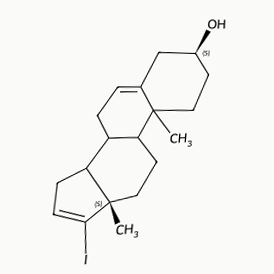 CC12CC[C@H](O)CC1=CCC1C2CC[C@]2(C)C(I)=CCC12